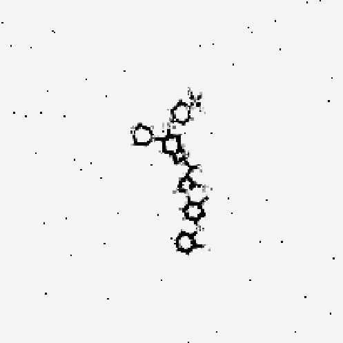 Cc1cc(Oc2ccccc2F)ccc1-n1ncc(C(=O)c2cc3cc(N4CCOCC4)c(NC4CCN(S(C)(=O)=O)CC4)cc3[nH]2)c1N